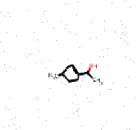 CC1CC=C(C(C)O)CC1